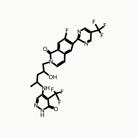 CC(CC(O)Cn1ccc2cc(-c3ncc(C(F)(F)F)cn3)c(F)cc2c1=O)Nc1cn[nH]c(=O)c1C(F)(F)F